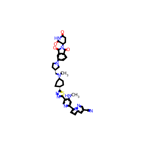 CNc1cc(-c2ccc3cc(C#N)cnn23)ncc1-c1nnc([C@H]2CC[C@H](N(C)C[C@@H]3CCN(c4ccc5c(c4)C(=O)N(C4CCC(=O)NC4=O)C5=O)C3)CC2)s1